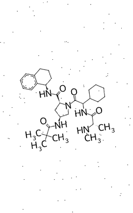 CN[C@@H](C)C(=O)NC(C(=O)N1C[C@@H](NC(=O)C(C)(C)C)C[C@H]1C(=O)N[C@@H]1CCCc2ccccc21)C1CCCCC1